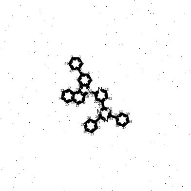 c1ccc(-c2ccc3c(c2)c2c4ccccc4ccc2n3-c2cc(-c3nc(-c4ccccc4)nc(-c4ccccc4)n3)ccn2)cc1